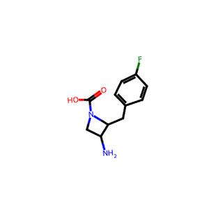 NC1CN(C(=O)O)C1Cc1ccc(F)cc1